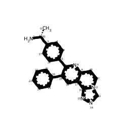 C[C@@H](N)c1ccc(-c2nc3ccn4cnnc4c3cc2-c2ccccc2)cc1